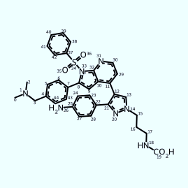 CN(C)Cc1ccc(-c2cc3c(-c4cn(CCCNC(=O)O)nc4-c4ccc(N)cc4)ccnc3n2S(=O)(=O)c2ccccc2)cc1